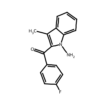 Cc1c(C(=O)c2ccc(F)cc2)n(N)c2ccccc12